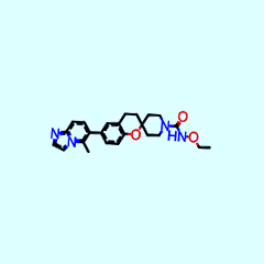 CCONC(=O)N1CCC2(CCc3cc(-c4ccc5nccn5c4C)ccc3O2)CC1